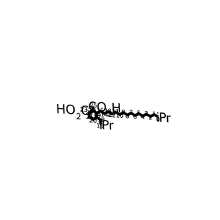 CC(C)CCCCCCCCCCCCCCCc1c(CC(C)C)ccc(C(=O)O)c1C(=O)O